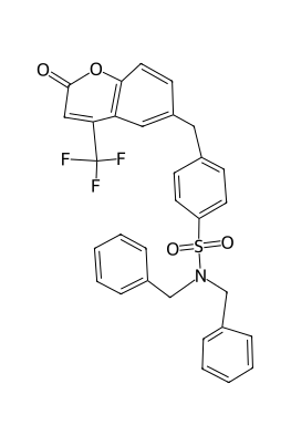 O=c1cc(C(F)(F)F)c2cc(Cc3ccc(S(=O)(=O)N(Cc4ccccc4)Cc4ccccc4)cc3)ccc2o1